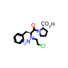 NN(CCCl)[C@@H](Cc1ccccc1)C(=O)N1CCC[C@H]1C(=O)O